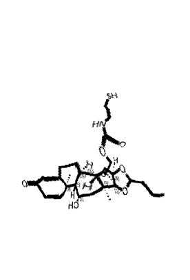 CCCC1O[C@@H]2C[C@H]3[C@@H]4CCC5=CC(=O)C=C[C@]5(C)[C@H]4[C@@H](O)C[C@]3(C)[C@]2(C(=O)COC(=O)NCCS)O1